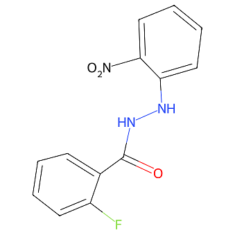 O=C(NNc1ccccc1[N+](=O)[O-])c1ccccc1F